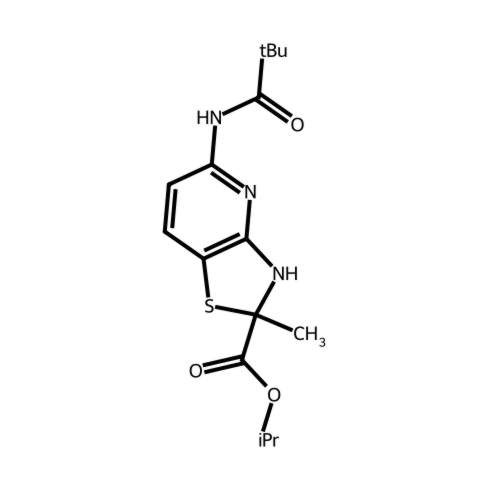 CC(C)OC(=O)C1(C)Nc2nc(NC(=O)C(C)(C)C)ccc2S1